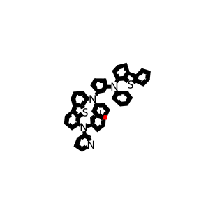 c1ccc(N(c2cccc(N(c3ccccc3)c3cccc4c3sc3c(N(c5cccnc5)c5cccnc5)cccc34)c2)c2cccc3c2sc2ccccc23)cc1